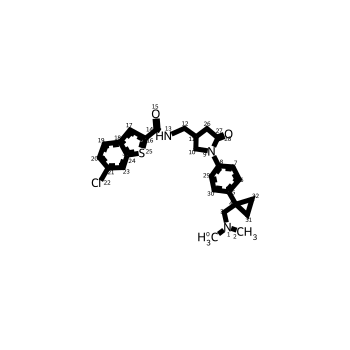 CN(C)CC1(c2ccc(N3CC(CNC(=O)c4cc5ccc(Cl)cc5s4)CC3=O)cc2)CC1